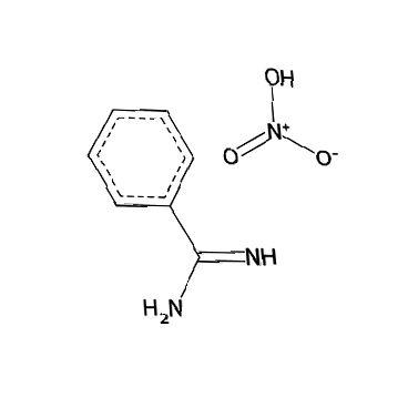 N=C(N)c1ccccc1.O=[N+]([O-])O